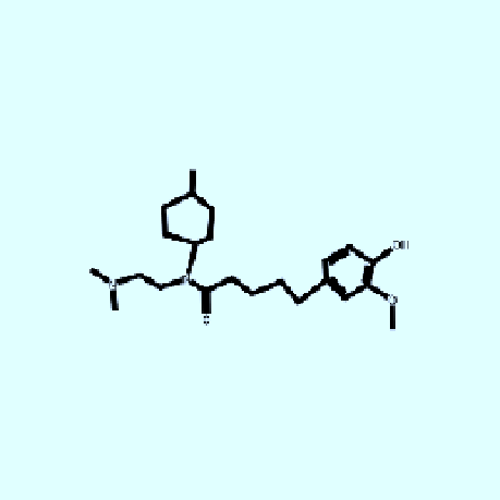 COc1cc(CCCCC(=O)N(CCN(C)C)C2CCC(C)CC2)ccc1O